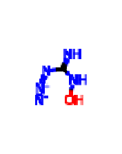 [N-]=[N+]=NC(=N)NO